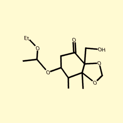 CCOC(C)OC1CC(=O)C2(CO)OCOC2(C)C1C